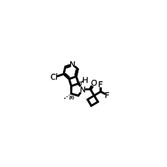 C[C@H]1CN(C(=O)C2(C(F)F)CCC2)[C@@H]2c3cncc(Cl)c3C21